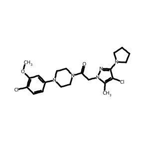 COc1cc(N2CCN(C(=O)Cn3nc(N4CCCC4)c(Cl)c3C)CC2)ccc1Cl